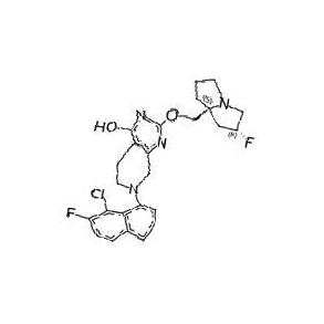 Oc1nc(OC[C@@]23CCCN2C[C@H](F)C3)nc2c1CCN(c1cccc3ccc(F)c(Cl)c13)C2